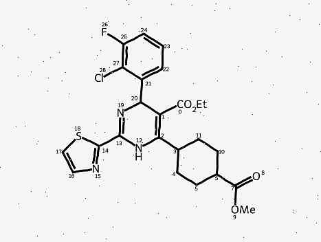 CCOC(=O)C1=C(C2CCC(C(=O)OC)CC2)NC(c2nccs2)=NC1c1cccc(F)c1Cl